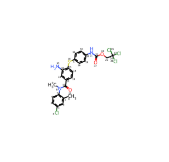 Cc1cc(Cl)ccc1N(C)C(=O)c1ccc(Sc2ccc(NC(=O)OCC(Cl)(Cl)Cl)cc2)c(N)c1